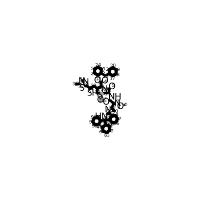 CON=C(C(=O)NC1C(=O)N2C(C(=O)OC(c3ccccc3)c3ccccc3)=C(C=C(S)c3nnc(C)s3)C[S+]([O-])C12)c1csc(NC(c2ccccc2)(c2ccccc2)c2ccccc2)n1